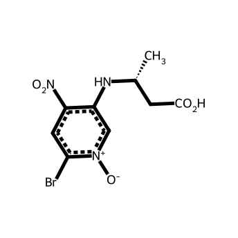 C[C@H](CC(=O)O)Nc1c[n+]([O-])c(Br)cc1[N+](=O)[O-]